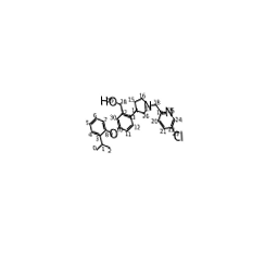 CC(C)c1ccccc1Oc1ccc(C2CCN(Cc3ccc(Cl)cn3)C2)c(CO)c1